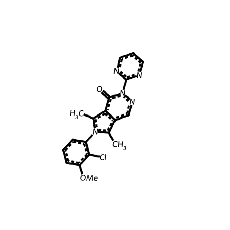 COc1cccc(-n2c(C)c3cnn(-c4ncccn4)c(=O)c3c2C)c1Cl